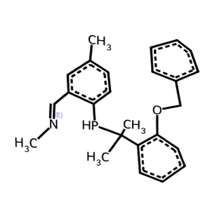 C/N=C/c1cc(C)ccc1PC(C)(C)c1ccccc1OCc1ccccc1